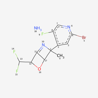 CC1(c2cc(Br)ncc2F)N=C2C(C(F)F)OC21.N